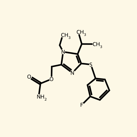 CCn1c(COC(N)=O)nc(Sc2cccc(F)c2)c1C(C)C